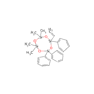 C=C[Si]1(c2ccccc2)O[Si](C)(C)O[Si](C)(C)O[Si](c2ccccc2)(c2ccccc2)O1